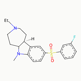 CCN1CCC2[C@@H](CC1)c1cc(S(=O)(=O)c3cccc(F)c3)ccc1N2C